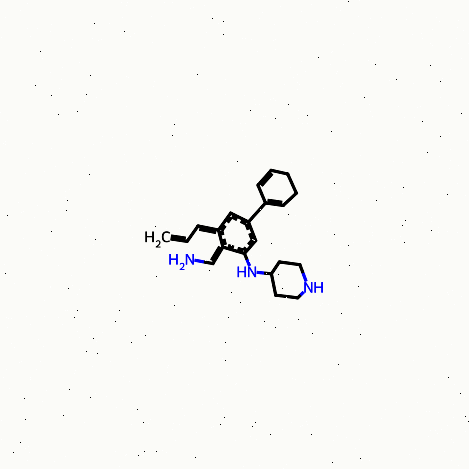 C=C/C=c1/cc(C2=CCCC=C2)cc(NC2CCNCC2)/c1=C/N